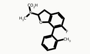 Cc1ccccc1-c1c(F)ccc2c1OC(N(C)C(=O)O)C2